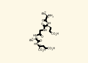 CC[C@H](C)[C@H](N)C(=O)N[C@@H](CCC(=O)O)C(=O)NCC(=O)N[C@H](C(=O)N[C@@H](CCC(=O)O)C(=O)O)[C@@H](C)CC